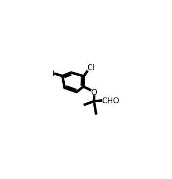 CC(C)(C=O)Oc1ccc(I)cc1Cl